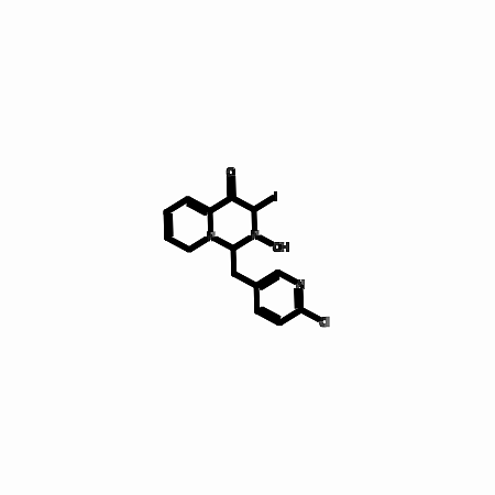 O=C1C2=CC=CCN2C(Cc2ccc(Cl)nc2)N(O)C1I